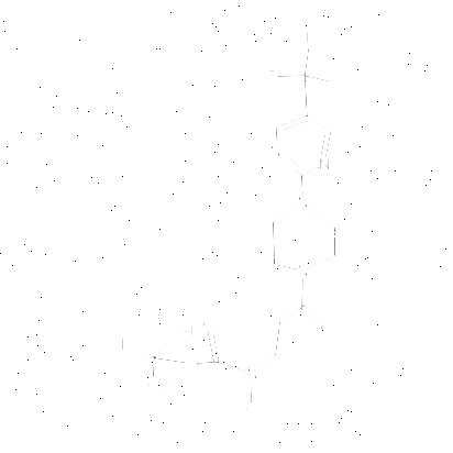 CN(CCC(=O)N1CCN(c2ncc(C(F)(F)F)cn2)CC1)C(=O)OC(C)(C)C